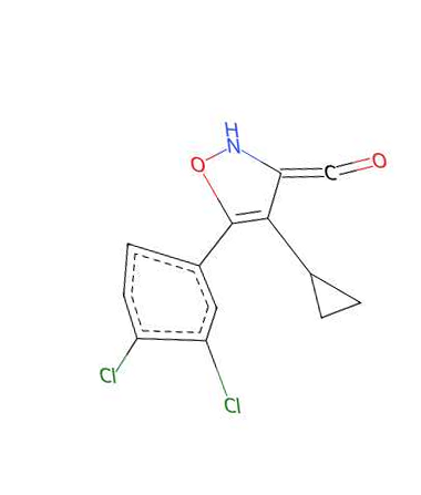 O=C=C1NOC(c2ccc(Cl)c(Cl)c2)=C1C1CC1